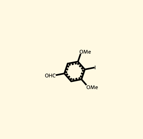 COc1cc(C=O)cc(OC)c1I